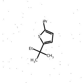 CCC(C)(C)c1ccc(C(C)C)s1